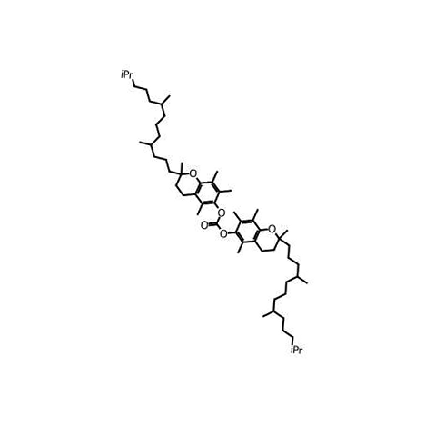 Cc1c(C)c2c(c(C)c1OC(=O)Oc1c(C)c(C)c3c(c1C)CCC(C)(CCCC(C)CCCC(C)CCCC(C)C)O3)CCC(C)(CCCC(C)CCCC(C)CCCC(C)C)O2